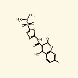 CN(C)S(=O)(=O)c1nnc(NC(=O)c2c(O)c3ccc(Cl)cc3oc2=O)s1